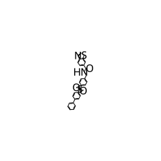 O=C(NCc1ccc(S(=O)(=O)c2ccc(-c3ccccc3)cc2)cc1)c1ccc2ncsc2c1